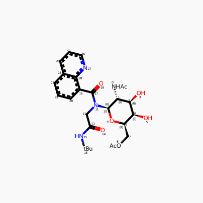 CC(=O)N[C@@H]1[C@@H](O)[C@@H](O)[C@@H](COC(C)=O)O[C@H]1N(CC(=O)NC(C)(C)C)C(=O)c1cccc2cccnc12